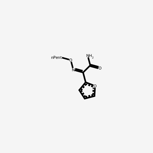 CCCCCON=C(C(N)=O)c1ccco1